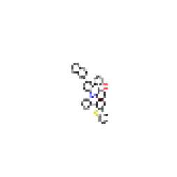 c1ccc(N(c2ccc(-c3ccc4ccccc4c3)cc2)c2cccc3oc4ccccc4c23)c(-c2cccc3c2sc2ccccc23)c1